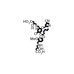 C=C/C=C\CC(Oc1ccc(CNC[C@@H](O)CC(=O)O)c(OC)n1)Oc1cc(OCc2cncc(C#N)c2)c(CNC[C@@H](O)CC(=O)O)cc1Cl